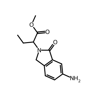 CCC(C(=O)OC)N1Cc2ccc(N)cc2C1=O